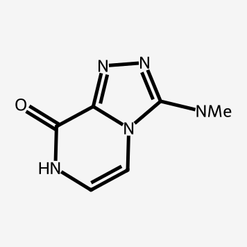 CNc1nnc2c(=O)[nH]ccn12